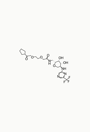 O=C(COCCOCC(=O)C1CCCC1)NC[C@H]1OC[C@H](Nc2cncc(C(F)(F)F)n2)[C@@H](O)[C@H]1O